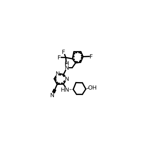 N#Cc1cnc(NCc2cc(F)ccc2C(F)(F)F)nc1N[C@H]1CC[C@@H](O)CC1